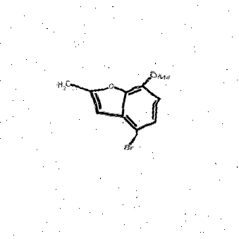 [CH2]c1cc2c(Br)ccc(OC)c2o1